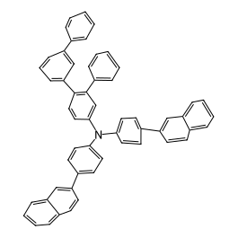 c1ccc(-c2cccc(-c3ccc(N(c4ccc(-c5ccc6ccccc6c5)cc4)c4ccc(-c5ccc6ccccc6c5)cc4)cc3-c3ccccc3)c2)cc1